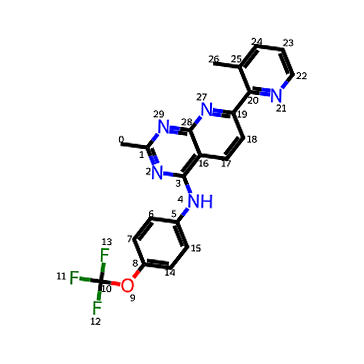 Cc1nc(Nc2ccc(OC(F)(F)F)cc2)c2ccc(-c3ncccc3C)nc2n1